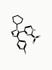 O=S(=O)=c1nc(-c2c(-c3ccc(F)cc3)ncn2C2CCCCC2)cc[nH]1